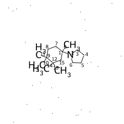 CC1(N2CCCC2)CCC(C)(C)C(C)(C)C1